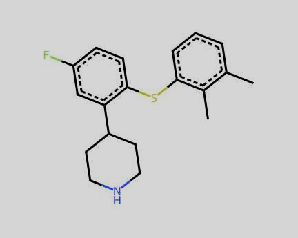 Cc1cccc(Sc2ccc(F)cc2C2CCNCC2)c1C